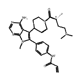 C=CC(=O)Nc1ccc(-c2c(C3CCN(C(=O)[C@H](C)CCN(C)C)CC3)c3c(N)ncnc3n2C)cc1